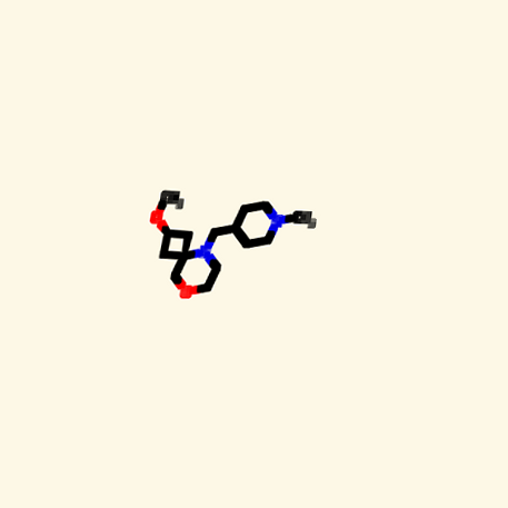 CO[C@H]1C[C@@]2(COCCN2CC2CCN(C)CC2)C1